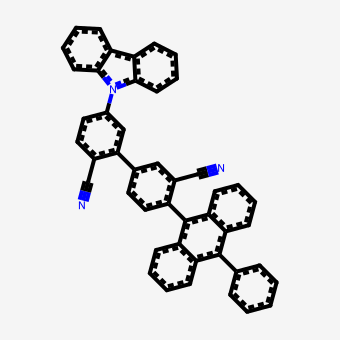 N#Cc1ccc(-n2c3ccccc3c3ccccc32)cc1-c1ccc(-c2c3ccccc3c(-c3ccccc3)c3ccccc23)c(C#N)c1